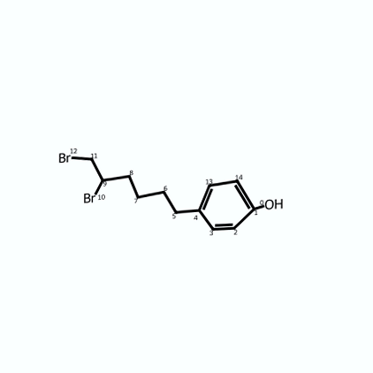 Oc1ccc(CCCCC(Br)CBr)cc1